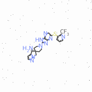 N[C@@H]1c2ccnn2CC12CCN(c1nc3nc(Sc4cccnc4C(F)(F)F)cnc3[nH]1)CC2